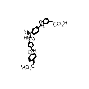 O=C(O)Cc1ccc2oc(-c3ccc(NC(=O)Nc4ccc(-c5nc6cc(CC(=O)O)ccc6o5)cc4)cc3)nc2c1